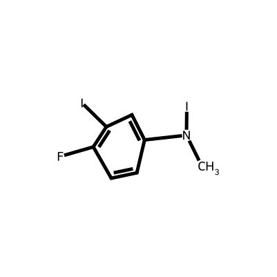 CN(I)c1ccc(F)c(I)c1